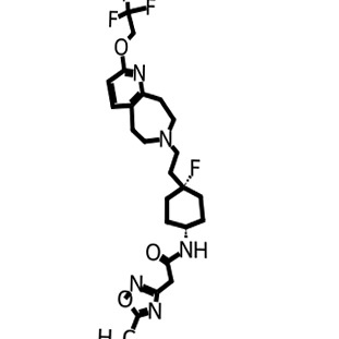 Cc1nc(CC(=O)N[C@H]2CC[C@](F)(CCN3CCc4ccc(OCC(F)(F)F)nc4CC3)CC2)no1